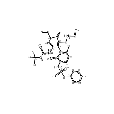 C=C1C(CNC=O)=C(n2c(C)ccc(NS(=O)(=O)Cc3ccccc3)c2=O)C(NC(=O)OC(C)(C)C)=NC1CC